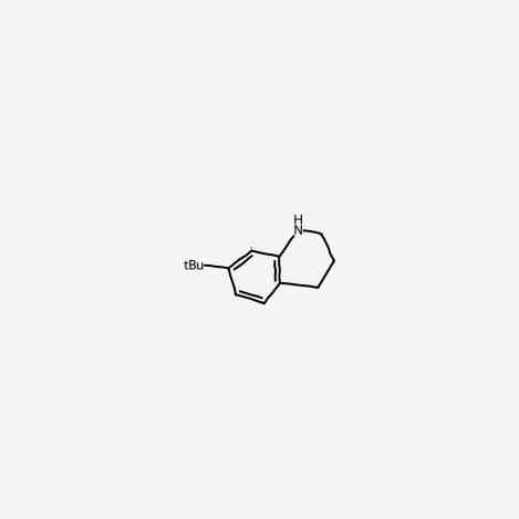 CC(C)(C)c1[c]c2c(cc1)CCCN2